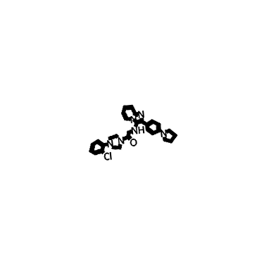 O=C(CNc1c(-c2ccc(N3CCCC3)cc2)nc2ccccn12)N1CCN(c2ccccc2Cl)CC1